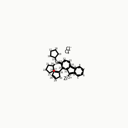 [Cl-].[Cl-].[Zr+2][C]1=c2ccccc2=c2ccc(=[Si](C3CCCC3)C3CCCC3)c(C3=CC=CC3)c21